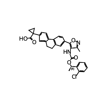 Cc1noc(-c2ccc3c(c2)CCc2cc(C4(C(=O)O)CC4)ccc2-3)c1NC(=O)O[C@H](C)c1ccccc1Cl